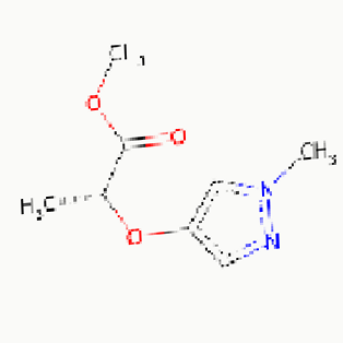 COC(=O)[C@@H](C)Oc1cnn(C)c1